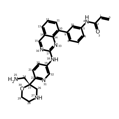 C=CC(=O)Nc1cccc(-c2cccc3cnc(Nc4ccc([C@]5(CN)CNCCO5)nc4)nc23)c1